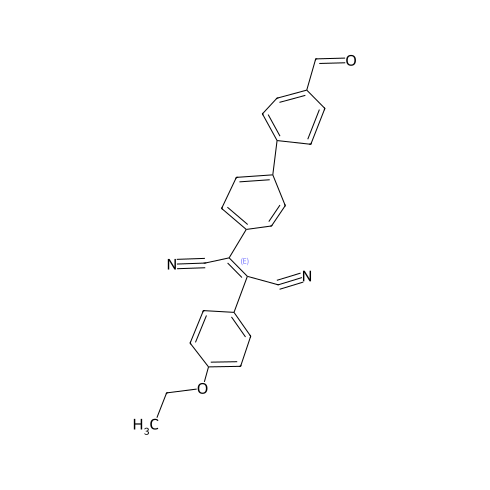 CCOc1ccc(/C(C#N)=C(\C#N)c2ccc(-c3ccc(C=O)cc3)cc2)cc1